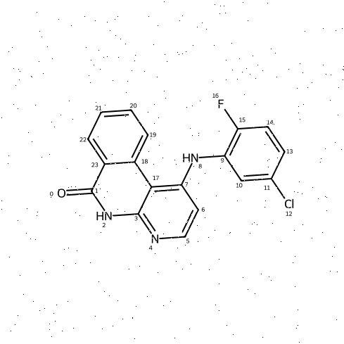 O=c1[nH]c2nccc(Nc3cc(Cl)ccc3F)c2c2ccccc12